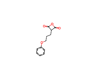 O=C1OC(=O)C1CCCOc1ccccc1